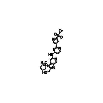 CC1(n2c(CO)nc3cnc(Nc4ccnc(-c5cnn(S(=O)(=O)C6CC6)c5)n4)cc32)CCCC1